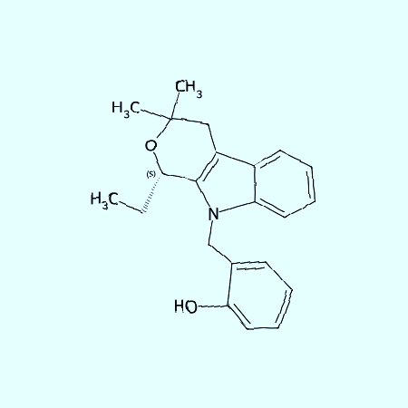 CC[C@@H]1OC(C)(C)Cc2c1n(Cc1ccccc1O)c1ccccc21